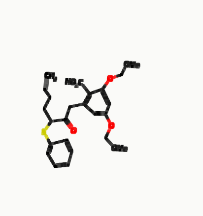 C=CCCC(Sc1ccccc1)C(=O)Cc1cc(OCOC)cc(OCOC)c1C(=O)O